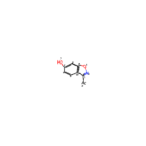 CC(=O)c1noc2cc(O)ccc12